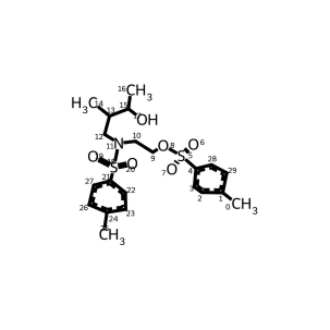 Cc1ccc(S(=O)(=O)OCCN(CC(C)C(C)O)S(=O)(=O)c2ccc(C)cc2)cc1